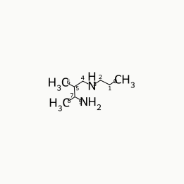 CCCNCC(C)C(C)N